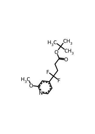 COc1cc(C(F)(F)CCC(=O)OC(C)(C)C)ccn1